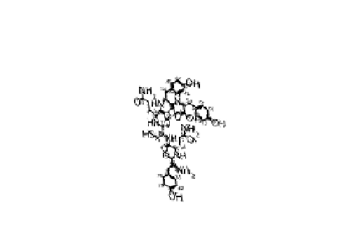 NC(=O)CC[C@H](NC(=O)[C@H](CS)NC(=O)[C@H](CCC(N)=O)NC(=O)[C@@H](N)Cc1ccc(O)cc1)C(=O)N[C@@H](Cc1ccc(O)cc1)C(=O)N[C@@H](Cc1ccc(O)cc1)C(=O)O